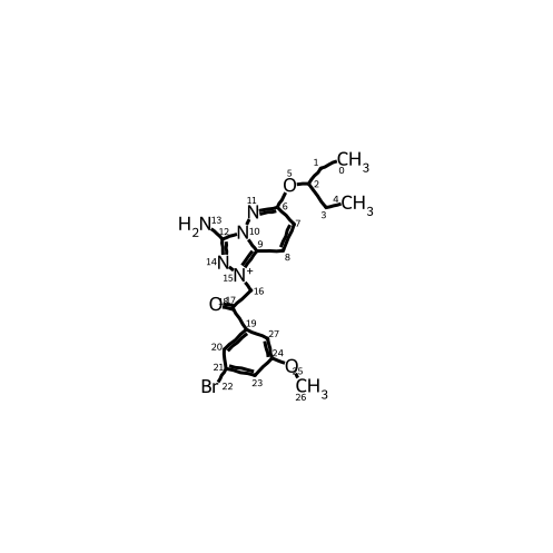 CCC(CC)Oc1ccc2n(n1)c(N)n[n+]2CC(=O)c1cc(Br)cc(OC)c1